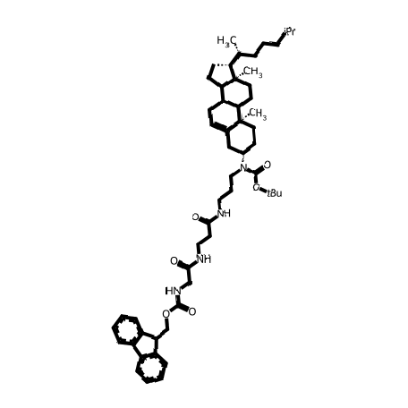 CC(C)CCC[C@@H](C)[C@H]1CCC2C3CC=C4C[C@@H](N(CCCNC(=O)CCNC(=O)CNC(=O)OCC5c6ccccc6-c6ccccc65)C(=O)OC(C)(C)C)CC[C@]4(C)C3CC[C@@]21C